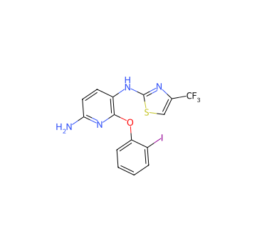 Nc1ccc(Nc2nc(C(F)(F)F)cs2)c(Oc2ccccc2I)n1